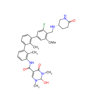 COc1cc(-c2cccc(-c3cccc(NC(=O)C4=CN(C)C(O)N(C)C4=O)c3C)c2C)cc(F)c1CN[C@H]1CCC(=O)NC1